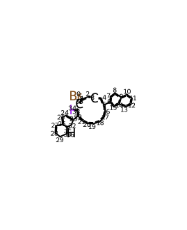 Brc1cccc(-c2ccc3ccccc3c2)ccccccc(C2=CC=C3C=CCC[C@H]3C2)c(I)c1